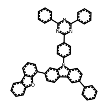 c1ccc(-c2ccc3c(c2)c2ccc(-c4cccc5c4oc4ccccc45)cc2n3-c2ccc(-c3nc(-c4ccccc4)nc(-c4ccccc4)n3)cc2)cc1